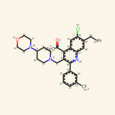 COC(=O)c1c(CN2CCC(N3CCOCC3)CC2)c(-c2cccc(C(F)(F)F)c2)nc2cc(CC(C)C)c(Cl)cc12